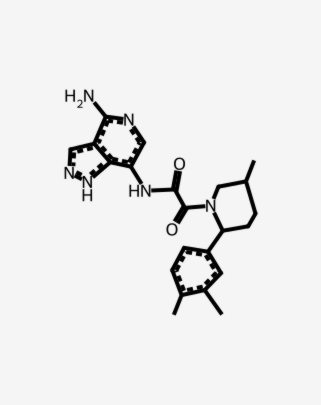 Cc1ccc(C2CCC(C)CN2C(=O)C(=O)Nc2cnc(N)c3cn[nH]c23)cc1C